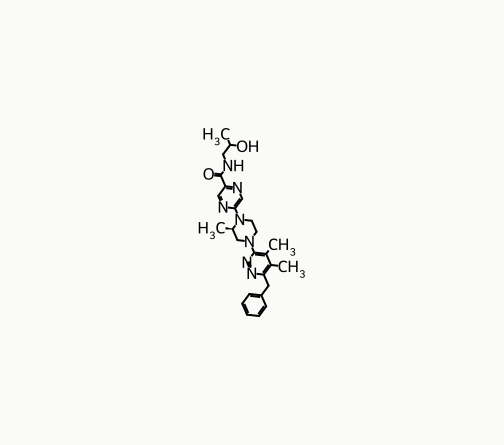 Cc1c(Cc2ccccc2)nnc(N2CCN(c3cnc(C(=O)NCC(C)O)cn3)[C@H](C)C2)c1C